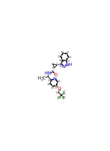 C[C@@H](NC(=O)[C@@H]1C[C@H]1c1n[nH]c2ccccc12)c1ccc(OCC(F)(F)F)cn1